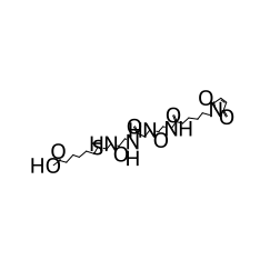 O=C(O)CCCCCSCNC(=O)CNC(=O)CNC(=O)CNC(=O)CCCCCN1C(=O)C=CC1=O